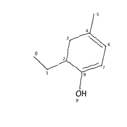 CCC1CC(C)=CC=C1O